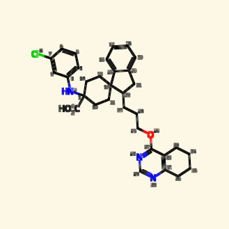 O=C(O)C1(Nc2cccc(Cl)c2)CCC2(CC1)c1ccccc1CC2CCCOc1ncnc2c1CCCC2